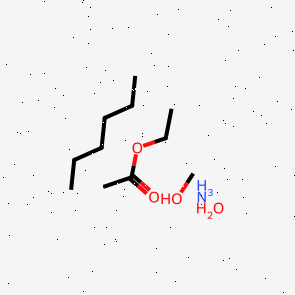 CCCCCC.CCOC(C)=O.CO.N.O